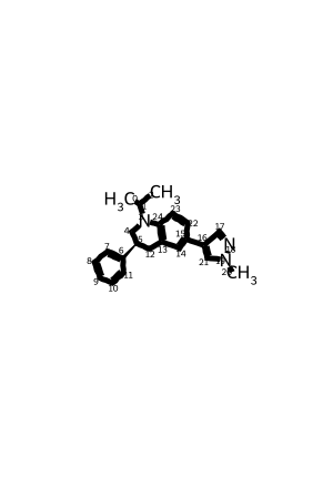 CC(C)N1C[C@H](c2ccccc2)Cc2cc(-c3cnn(C)c3)ccc21